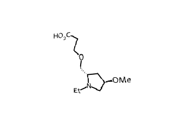 CCN1C[C@H](OC)C[C@H]1COCCC(=O)O